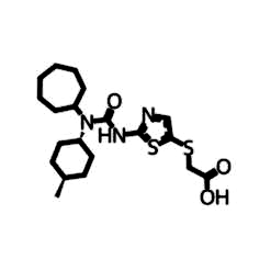 C[C@H]1CC[C@H](N(C(=O)Nc2ncc(SCC(=O)O)s2)C2CCCCCC2)CC1